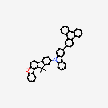 CC1(C)c2cc(-n3c4ccccc4c4cc(-c5ccc6c7ccccc7c7ccccc7c6c5)ccc43)ccc2-c2ccc3oc4ccccc4c3c21